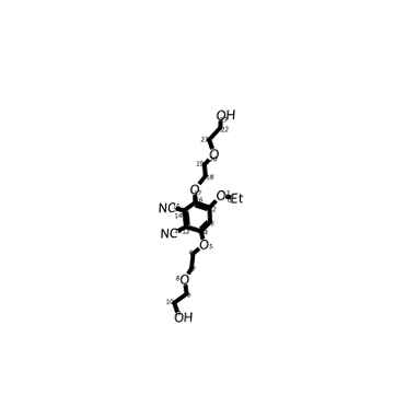 CCOc1cc(OCCOCCO)c(C#N)c(C#N)c1OCCOCCO